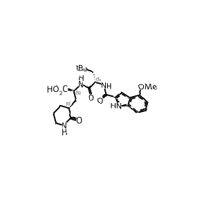 COc1cccc2[nH]c(C(=O)N[C@@H](CC(C)(C)C)C(=O)N[C@@H](C[C@@H]3CCCNC3=O)C(=O)O)cc12